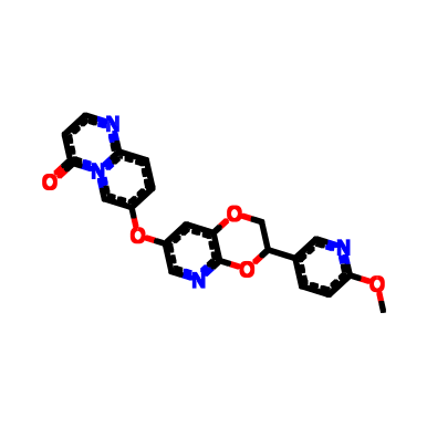 COc1ccc(C2COc3cc(Oc4ccc5nccc(=O)n5c4)cnc3O2)cn1